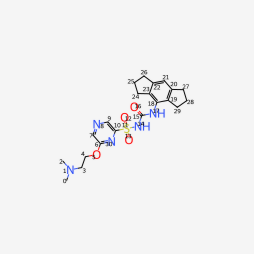 CN(C)CCOc1cncc(S(=O)(=O)NC(=O)Nc2c3c(cc4c2CCC4)CCC3)n1